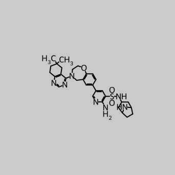 CC1(C)CCc2ncnc(N3CCOc4ccc(-c5cnc(N)c(S(=O)(=O)NC6CC7CCC(C6)N7)c5)cc4C3)c2C1